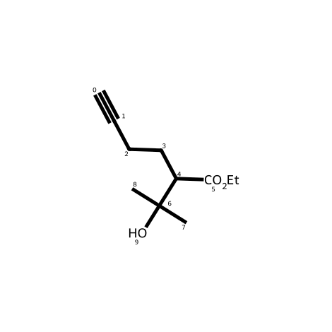 C#CCCC(C(=O)OCC)C(C)(C)O